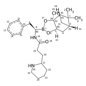 CC1(C)[C@@H]2C[C@H]3OB([C@H](Cc4ccccc4)NC(=O)CCC4CCCCN4)O[C@@]3(C)[C@H]1C2